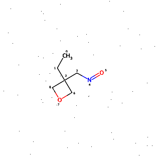 CCC1(CN=O)COC1